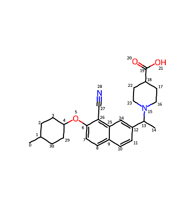 CC1CCC(Oc2ccc3ccc(C(C)N4CCC(C(=O)O)CC4)cc3c2C#N)CC1